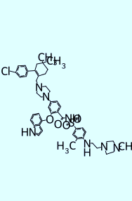 Cc1cc(S(=O)(=O)NC(=O)c2ccc(N3CCN(CC4=C(c5ccc(Cl)cc5)CC(C)(C)CC4)CC3)cc2Oc2cccc3[nH]ccc23)ccc1NCCN1CCN(C)CC1